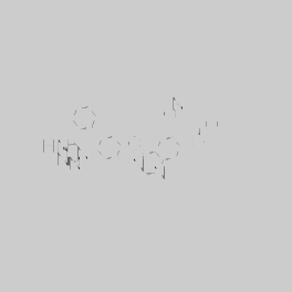 CCCCc1nc2ccc(C3ON4CCCC4C3C(=O)OCC)cc2c(=O)n1Cc1ccc(-c2ccccc2-c2nnn[nH]2)cc1